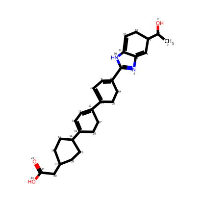 CC(O)C1C=c2nc(C3=CC=C(C4=CC=C(C5CCC(CC(=O)O)CC5)CC4)CC3)[nH]c2=CC1